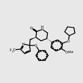 COc1ccc([C@H]2CNC(=O)[C@H](CC3(Oc4ccccc4)C=CC(C(F)(F)F)=N3)C2)cc1OC1CCCC1